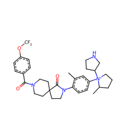 Cc1cc([N+]2(C3CCNC3)CCCC2C)ccc1N1CCC2(CCN(C(=O)c3ccc(OC(F)(F)F)cc3)CC2)C1=O